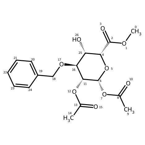 COC(=O)[C@@H]1O[C@H](OC(C)=O)[C@H](OC(C)=O)[C@@H](OCc2ccccc2)[C@@H]1O